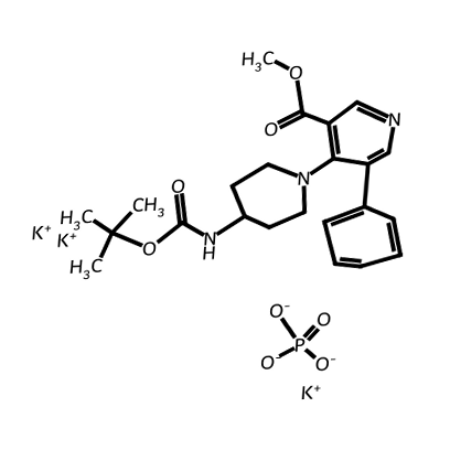 COC(=O)c1cncc(-c2ccccc2)c1N1CCC(NC(=O)OC(C)(C)C)CC1.O=P([O-])([O-])[O-].[K+].[K+].[K+]